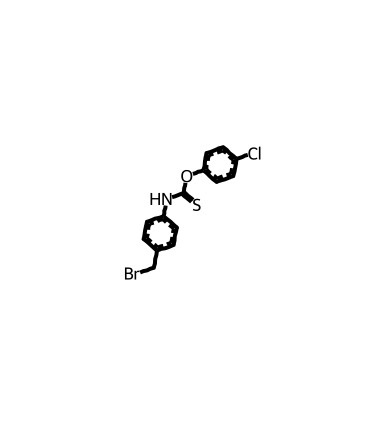 S=C(Nc1ccc(CBr)cc1)Oc1ccc(Cl)cc1